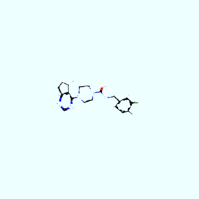 C[C@@H]1CCc2ncnc(N3CCN(C(=O)NCc4ccc(Cl)c(F)c4)CC3)c21